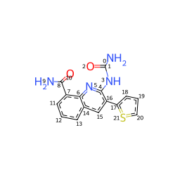 NC(=O)Nc1nc2c(C(N)=O)cccc2cc1-c1cccs1